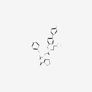 CC[N+](C)(CC)CCN(Cc1ccc(-c2ccc(C(F)(F)F)cc2)cc1)C(=O)Cn1c(SCc2ccc(F)cc2)nc(=O)c2c1CCC2